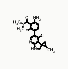 CC1CC12CNc1ncc(-c3ccc(N)c(C(=O)N(C)C)c3F)c(Cl)c12